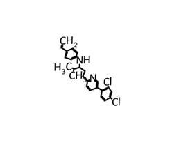 C=Cc1ccc(NC(CCc2ccc(-c3ccc(Cl)cc3Cl)cn2)C(C)C)cc1